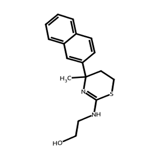 CC1(c2ccc3ccccc3c2)CCSC(NCCO)=N1